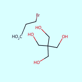 O=C(O)CCBr.OCC(CO)(CO)CO